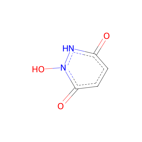 O=c1ccc(=O)n(O)[nH]1